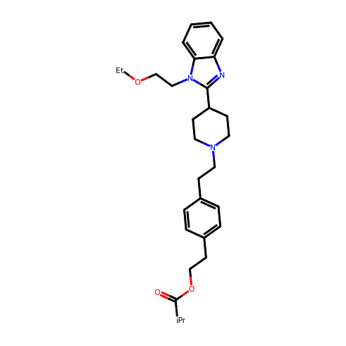 CCOCCn1c(C2CCN(CCc3ccc(CCOC(=O)C(C)C)cc3)CC2)nc2ccccc21